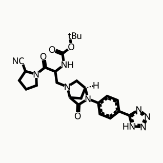 CC(C)(C)OC(=O)NC(CN1C[C@@H]2CC1C(=O)N2c1ccc(-c2nnn[nH]2)cc1)C(=O)N1CCCC1C#N